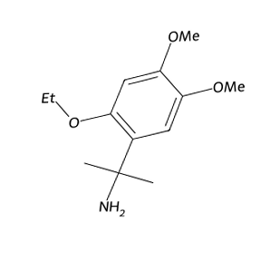 CCOc1cc(OC)c(OC)cc1C(C)(C)N